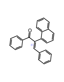 O=C(/C(=C/c1ccccc1)c1cccc2ccccc12)c1ccccc1